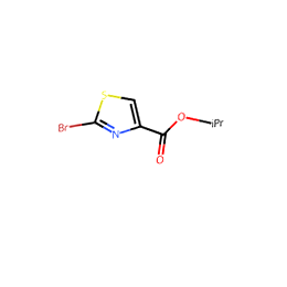 CC(C)OC(=O)c1csc(Br)n1